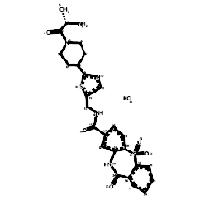 C[C@H](N)C(=O)N1CCC(c2ncc(CNC(=O)c3ccc4c(c3)NC(=O)c3ccccc3S4(=O)=O)s2)CC1.Cl